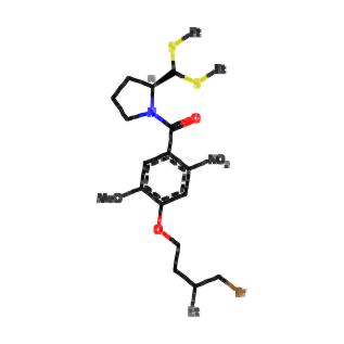 CCSC(SCC)[C@@H]1CCCN1C(=O)c1cc(OC)c(OCCC(CC)CBr)cc1[N+](=O)[O-]